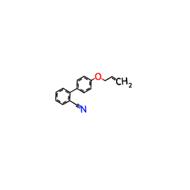 C=CCOc1ccc(-c2ccccc2C#N)cc1